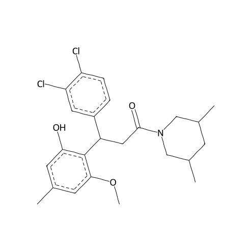 COc1cc(C)cc(O)c1C(CC(=O)N1CC(C)CC(C)C1)c1ccc(Cl)c(Cl)c1